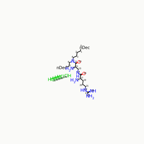 CCCCCCCCCCCCCCN(CCCCCCCCCCCC)C(=O)C(N)CNC(=O)[C@@H](N)CCCNC(=N)N.Cl.Cl.Cl.Cl.Cl.Cl